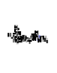 C=C(Cc1cc(F)c(-c2cnc(NC(/C=N\C)=C/C)nc2)cc1F)Nc1cnc(CC)c(C(C)(C)F)c1